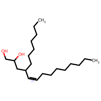 CCCCCCCC/C=C\C([CH]C(O)CO)CCCCCCC